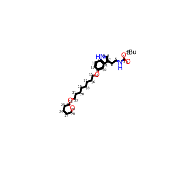 CC(C)(C)OC(=O)NCCc1c[nH]c2ccc(OCCCCCCCCOC3CCCCO3)cc12